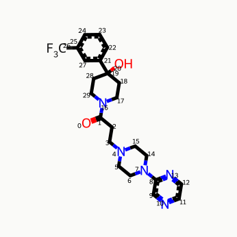 O=C(CCN1CCN(c2cnccn2)CC1)N1CCC(O)(c2cccc(C(F)(F)F)c2)CC1